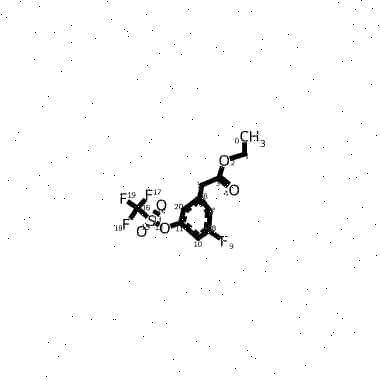 CCOC(=O)Cc1cc(F)cc(OS(=O)(=O)C(F)(F)F)c1